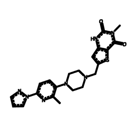 Cc1nc(-n2cccn2)ccc1N1CCN(Cc2cc3[nH]c(=O)n(C)c(=O)c3s2)CC1